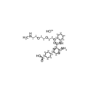 CNCCOCCOCCOc1ccccc1NC(=O)c1nc(-c2ccc(C(=O)O)cc2)cnc1N.Cl